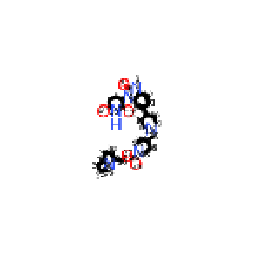 Cn1c(=O)n(C2CCC(=O)NC2=O)c2cc(C3CCN(CC4CCN(C(=O)OCC5=CCc6cccn65)CC4)CC3)ccc21